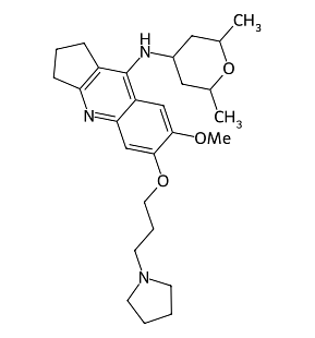 COc1cc2c(NC3CC(C)OC(C)C3)c3c(nc2cc1OCCCN1CCCC1)CCC3